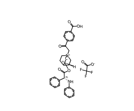 O=C(O)c1ccc(C(=O)C[N+]23CCC(CC2)[C@@H](OC(=O)[C@H](Nc2ccccc2)c2ccccc2)C3)cc1.O=C([O-])C(F)(F)F